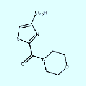 O=C(O)c1csc(C(=O)N2CCOCC2)n1